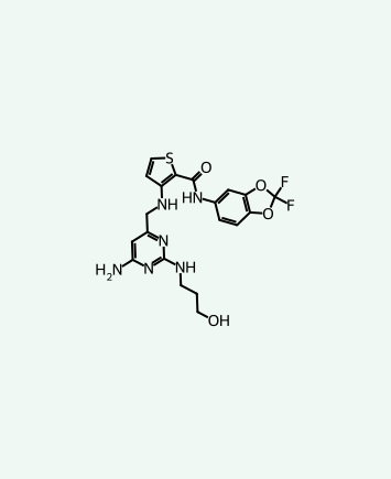 Nc1cc(CNc2ccsc2C(=O)Nc2ccc3c(c2)OC(F)(F)O3)nc(NCCCO)n1